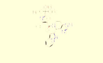 CC(C)(O)c1nc(Cl)c(C(=O)N2CCc3[nH]cnc3C2c2cc3ccccn3n2)o1